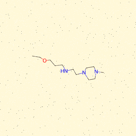 CCOCCCNCCN1CCN(C)CC1